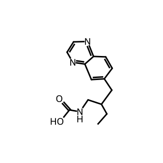 CCC(CNC(=O)O)Cc1ccc2nccnc2c1